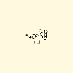 Cl.O=C(c1ccc[nH]1)N(c1ccccc1)C1CC2(CCN(CC3CC3)CC2)C1